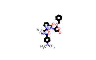 C[C@H](NC(=O)c1ccc(N(C)C)cc1)C(=O)N1CCC[C@H]1C(=O)N[C@H]1CC(=O)O[C@H]1OCc1ccccc1